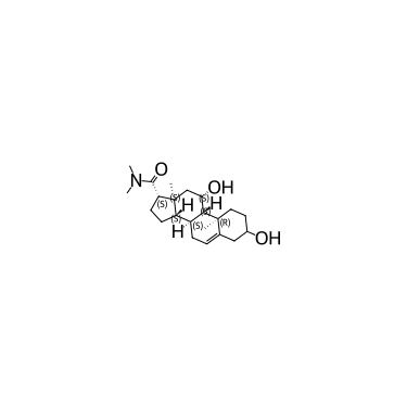 CN(C)C(=O)[C@H]1CC[C@H]2[C@@H]3CC=C4CC(O)CC[C@]4(C)[C@H]3[C@@H](O)C[C@]12C